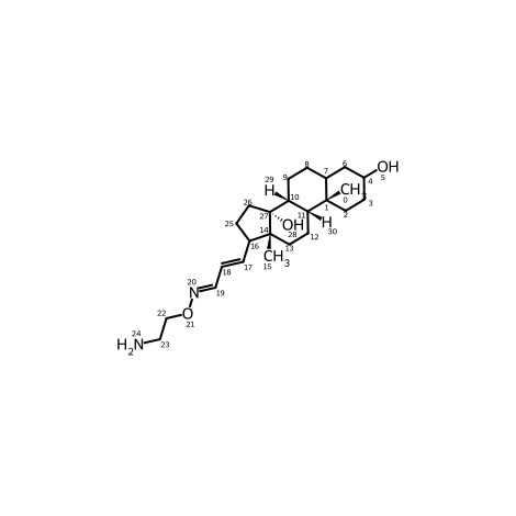 C[C@]12CCC(O)CC1CC[C@@H]1[C@H]2CC[C@]2(C)C(C=C/C=N/OCCN)CC[C@@]12O